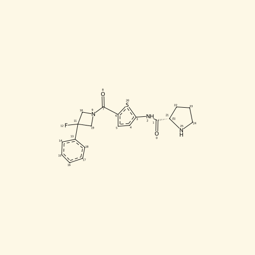 O=C(Nc1ccc(C(=O)N2CC(F)(c3ccccc3)C2)s1)[C@@H]1CCCN1